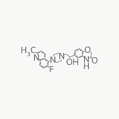 Cc1ccc2c(N3CCN(CC(O)c4ccc5c(c4)NC(=O)CO5)CC3)c(F)ccc2n1